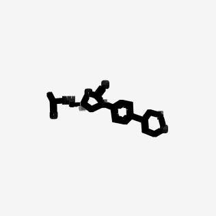 CC(=O)NC[C@H]1CN(c2ccc(C3=CCOSC3)cc2)C(=O)O1